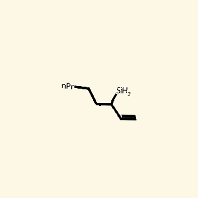 C=CC([SiH3])CCCCC